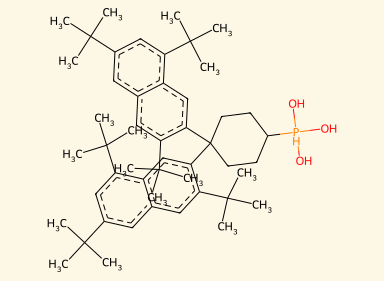 CC(C)(C)c1cc(C(C)(C)C)c2cc(C3(c4cc5c(C(C)(C)C)cc(C(C)(C)C)cc5cc4C(C)(C)C)CCC([PH](O)(O)O)CC3)c(C(C)(C)C)cc2c1